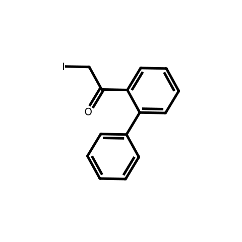 O=C(CI)c1ccccc1-c1ccccc1